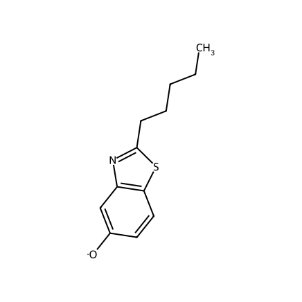 CCCCCc1nc2cc([O])ccc2s1